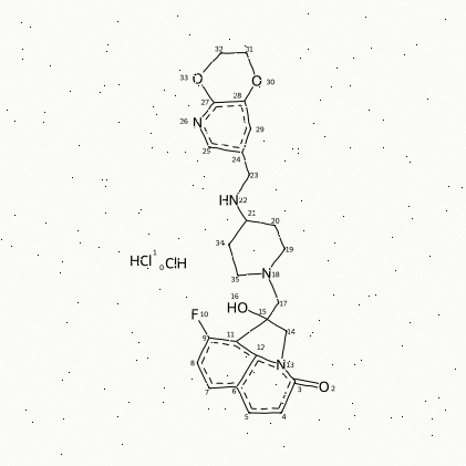 Cl.Cl.O=c1ccc2ccc(F)c3c2n1CC3(O)CN1CCC(NCc2cnc3c(c2)OCCO3)CC1